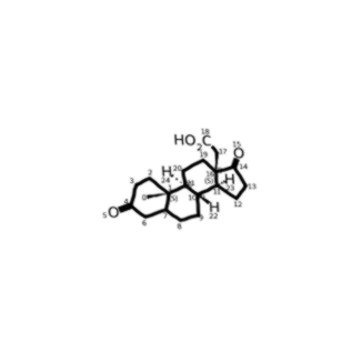 C[C@]12CCC(=O)CC1CC[C@H]1[C@@H]3CCC(=O)[C@@]3(CC(=O)O)CC[C@@H]12